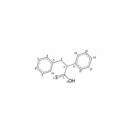 OC(=S)C(Cc1ccccc1)c1ccccc1